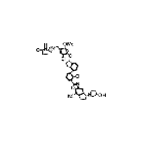 COc1nc(O[C@H]2CCc3c(-c4cccc(-c5nc6cc7c(c(C#N)c6o5)CC[C@H]7N5CC[C@@H](O)C5)c4Cl)cccc32)c(Cl)cc1CN1CC2(CCC(=O)N2)C1